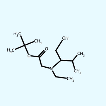 CCN(CC(=O)OC(C)(C)C)C(CO)C(C)C